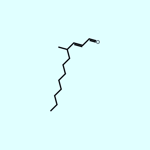 CCCCCCCCC(C)/C=C/C=O